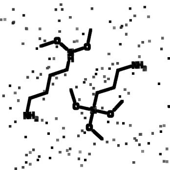 CO[SiH](CCCCN)OC.CO[Si](CCCN)(OC)OC